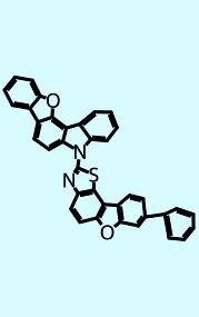 c1ccc(-c2ccc3c(c2)oc2ccc4nc(-n5c6ccccc6c6c7oc8ccccc8c7ccc65)sc4c23)cc1